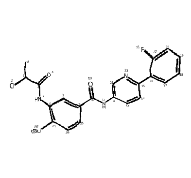 CC(Cl)C(=O)Nc1cc(C(=O)Nc2ccc(-c3ccccc3F)nc2)ccc1C(C)(C)C